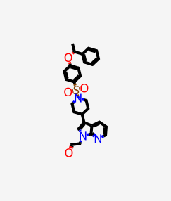 CC(Oc1ccc(S(=O)(=O)N2CCC(c3cn(CC=O)c4ncccc34)CC2)cc1)c1ccccc1